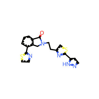 O=C1c2cccc(-c3nccs3)c2CN1CCc1csc(-c2ccn[nH]2)n1